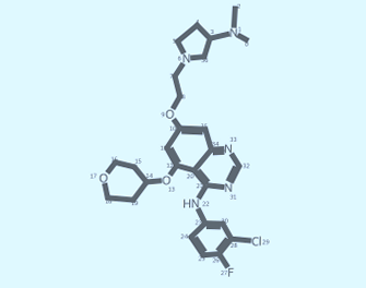 CN(C)C1CCN(CCOc2cc(OC3CCOCC3)c3c(Nc4ccc(F)c(Cl)c4)ncnc3c2)C1